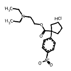 CCN(CC)CCOC(=O)C1(c2ccc([N+](=O)[O-])cc2)CCCC1.Cl